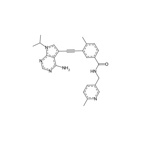 Cc1ccc(CNC(=O)c2ccc(C)c(C#Cc3cn(C(C)C)c4ncnc(N)c34)c2)cn1